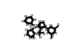 Cc1cc(C)cc(C2=C(C(C)(C)C)C([SiH](c3ccccc3)c3ccccc3)=CC2)c1